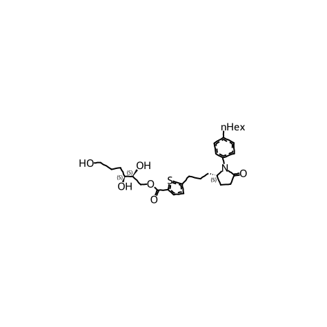 CCCCCCc1ccc(N2C(=O)CC[C@@H]2CCCc2ccc(C(=O)OC[C@H](O)[C@@H](O)CCCO)s2)cc1